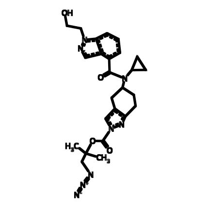 CC(C)(CN=[N+]=[N-])OC(=O)n1cc2c(n1)CCC(N(C(=O)c1cccc3c1cnn3CCO)C1CC1)C2